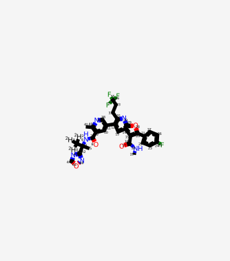 [2H]C([2H])([2H])C(C)(NC(=O)c1cc(-c2cc3c(C(=O)NC)c(-c4ccc(F)cc4)oc3nc2CCC(F)(F)F)cnc1C)c1ncon1